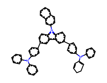 C1=CC(N(c2ccccc2)c2ccc(-c3ccc4c(c3)c3cc(-c5ccc(N(c6ccccc6)c6ccccc6)cc5)ccc3n4-c3ccc4ccccc4c3)cc2)=CCC1